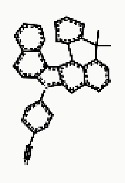 CC1(C)c2ccccc2-c2c3c1cccc3cc1c2c2c3ccccc3ccc2n1-c1ccc(C#N)cc1